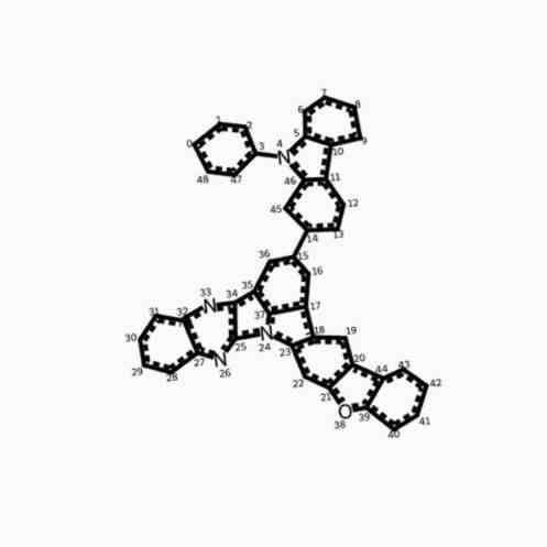 c1ccc(-n2c3ccccc3c3ccc(-c4cc5c6cc7c(cc6n6c8nc9ccccc9nc8c(c4)c56)oc4ccccc47)cc32)cc1